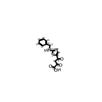 O=C(O)C(=O)CC(=O)c1cnc(NCc2ccccc2)s1